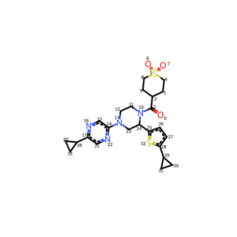 O=C(C1CCS(=O)(=O)CC1)N1CCN(c2cnc(C3CC3)cn2)CC1c1ccc(C2CC2)s1